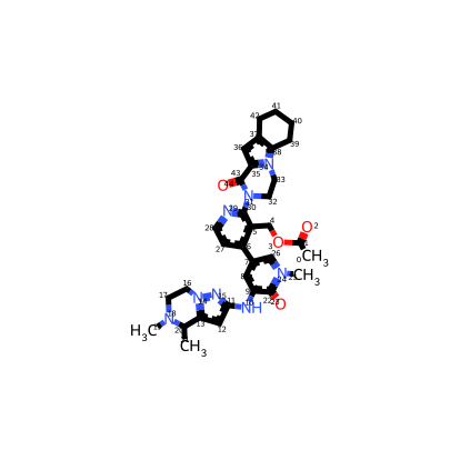 CC(=O)OCc1c(-c2cc(Nc3cc4n(n3)CCN(C)C4C)c(=O)n(C)c2)ccnc1N1CCn2c(cc3c2CCCC3)C1=O